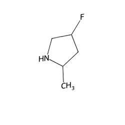 CC1CC(F)CN1